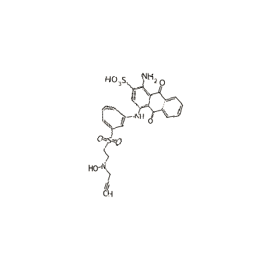 C#CCN(O)CCS(=O)(=O)c1cccc(Nc2cc(S(=O)(=O)O)c(N)c3c2C(=O)c2ccccc2C3=O)c1